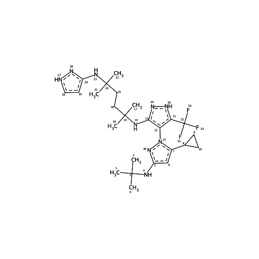 CC(C)(C)Nc1cc(C2CC2)n(-c2c(NC(C)(C)CCC(C)(C)Nc3cc[nH]n3)n[nH]c2C(F)(F)F)n1